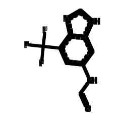 O=CNc1cc(C(F)(F)F)c2nc[nH]c2c1